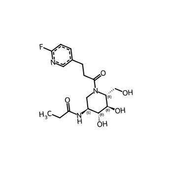 CCC(=O)N[C@H]1CN(C(=O)CCc2ccc(F)nc2)[C@H](CO)[C@@H](O)[C@@H]1O